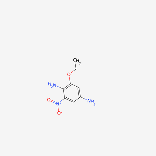 CCOc1cc(N)cc([N+](=O)[O-])c1N